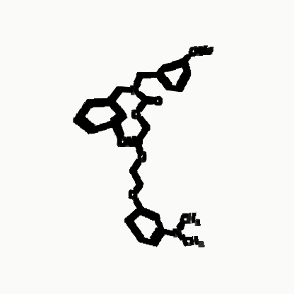 COc1cccc(CN(Cc2cccc(OC)c2)C(=O)OCCOCCOc2cccc(N(C)C)c2)c1